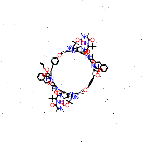 C=CCOC(=O)[C@@H]1Cc2ccc(cc2)OCc2cn(nn2)[C@@H]2CCN(C(=O)[C@@H](NC(=O)[C@H](C)N(C)C(=O)OC(C)(C)C)C(C)(C)C)[C@@H]2C(=O)N[C@@H](Cc2ccc3ccccc3c2)C(=O)N[C@H](C(=O)OC)Cc2ccc(cc2)OCc2cn(nn2)[C@@H]2CCN(C(=O)[C@@H](NC(=O)[C@H](C)N(C)C(=O)OC(C)(C)C)C(C)(C)C)[C@@H]2C(=O)N[C@@H](Cc2ccc3ccccc3c2)C(=O)N1